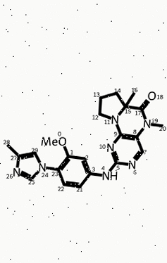 COc1cc(Nc2ncc3c(n2)N2CCCC2(C)C(=O)N3C)ccc1-n1cnc(C)c1